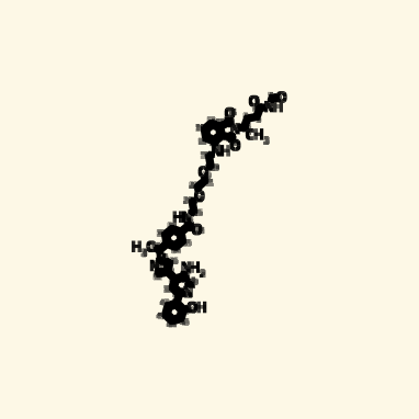 CC(CCC(=O)NC=O)N1C(=O)c2cccc(NCCOCCOCCNC(=O)c3ccc(C(C)n4cc(-c5cc(-c6ccccc6O)nnc5N)cn4)cc3)c2C1=O